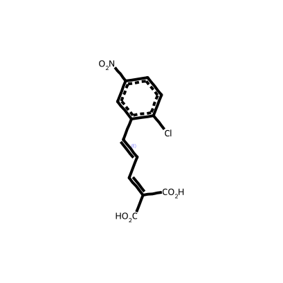 O=C(O)C(=C/C=C/c1cc([N+](=O)[O-])ccc1Cl)C(=O)O